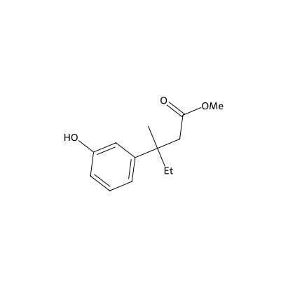 CCC(C)(CC(=O)OC)c1cccc(O)c1